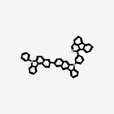 c1ccc(-n2c3ccccc3c3c4ccc(-c5ccc6cc7c(cc6c5)c5ccccc5n7-c5cccc(-c6ncc7cccc8c7c6-c6ccccc6-8)c5)cc4ccc32)cc1